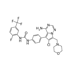 Nc1ncnn2c(CN3CCOCC3)c(Cl)c(-c3ccc(NC(=O)Nc4cc(C(F)(F)F)ccc4F)cc3)c12